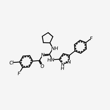 O=C(/N=C(\Nc1cc(-c2ccc(F)cc2)n[nH]1)NC1CCCC1)c1ccc(Cl)c(F)c1